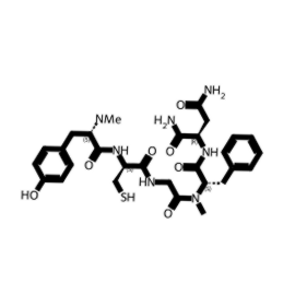 CN[C@@H](Cc1ccc(O)cc1)C(=O)N[C@H](CS)C(=O)NCC(=O)N(C)[C@@H](Cc1ccccc1)C(=O)N[C@H](CC(N)=O)C(N)=O